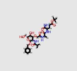 CC(C)C(=O)N[C@H]1[C@@H](OCc2ccccc2)O[C@H](CO)[C@@H](O)[C@@H]1OCC(=O)NC(C)C(=O)NC(CCC(=O)OC(C)(C)C)C(N)=O